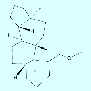 COCC1CCC[C@@H]2CC[C@H]3[C@@H]4CCC[C@@]4(C)CC[C@@H]3[C@@]12C